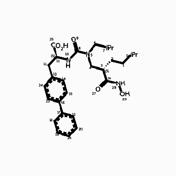 CC(C)CC[C@@H](CN(CC(C)C)C(=O)N[C@@H](Cc1ccc(-c2ccccc2)cc1)C(=O)O)C(=O)NO